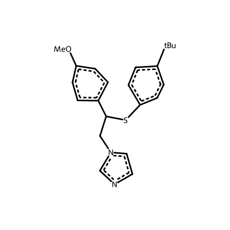 COc1ccc(C(Cn2ccnc2)Sc2ccc(C(C)(C)C)cc2)cc1